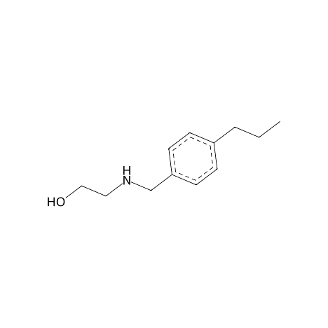 CCCc1ccc(CNCCO)cc1